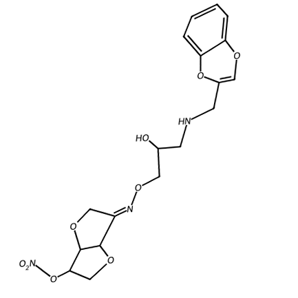 O=[N+]([O-])OC1COC2C(=NOCC(O)CNCC3=COc4ccccc4O3)COC12